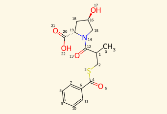 CC(CSC(=O)c1ccccc1)C(=O)N1C[C@H](O)C[C@H]1C(=O)O